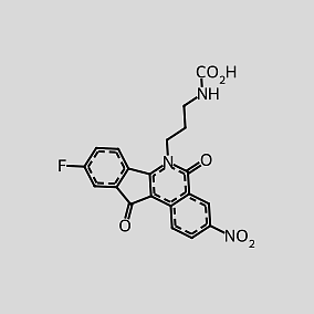 O=C(O)NCCCn1c2c(c3ccc([N+](=O)[O-])cc3c1=O)C(=O)c1cc(F)ccc1-2